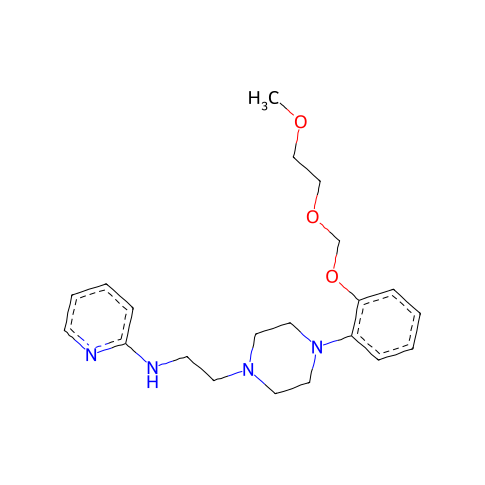 COCCOCOc1ccccc1N1CCN(CCNc2ccccn2)CC1